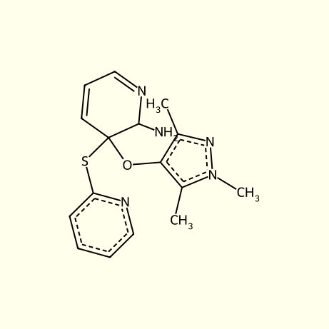 Cc1nn(C)c(C)c1OC1(Sc2ccccn2)C=CC=NC1N